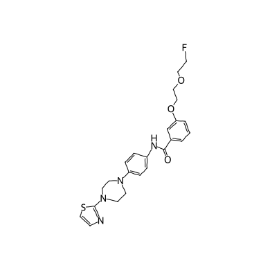 O=C(Nc1ccc(N2CCN(c3nccs3)CC2)cc1)c1cccc(OCCOCCF)c1